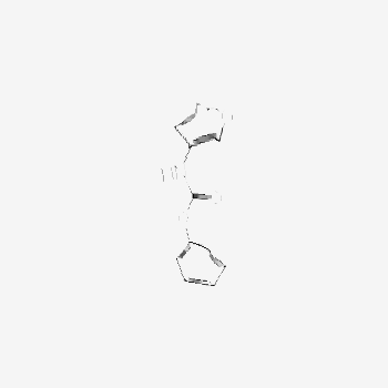 O=C(Nc1cnoc1)Oc1ccccc1